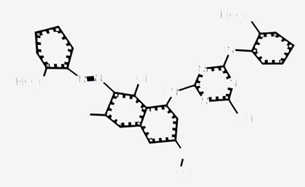 O=C(O)c1ccccc1/N=N/c1c(S)cc2cc(SO)cc(Nc3nc(O)nc(Nc4ccccc4C(=O)O)n3)c2c1O